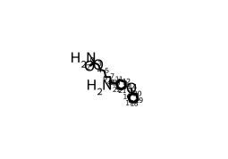 NC(=O)OCCCC[C@H](N)c1ccc(Oc2ccccc2)cc1